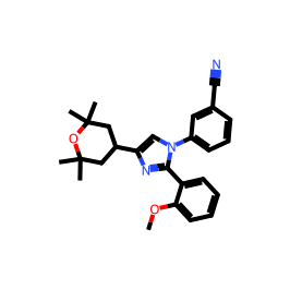 COc1ccccc1-c1nc(C2CC(C)(C)OC(C)(C)C2)cn1-c1cccc(C#N)c1